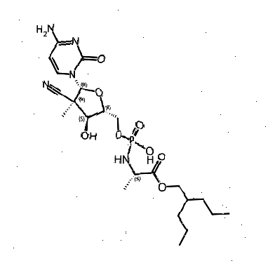 CCCC(CCC)COC(=O)[C@H](C)NP(=O)(O)OC[C@H]1O[C@@H](n2ccc(N)nc2=O)[C@](C)(C#N)[C@@H]1O